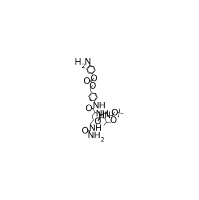 CC(C)C(NC(=O)OC(C)(C)C)C(=O)NC(CCCNC(N)=O)C(=O)Nc1ccc(COC(=O)Oc2ccc(N)cc2)cc1